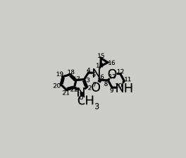 Cn1cc(CN(C(=O)C2CNCCO2)C2CC2)c2ccccc21